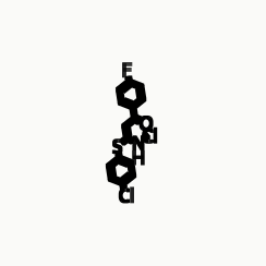 O=C(/C=C(\NCl)Sc1ccc(Cl)cc1)c1ccc(F)cc1